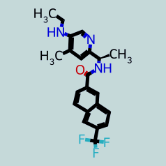 CCNc1cnc([C@@H](C)NC(=O)c2ccc3cc(C(F)(F)F)ccc3c2)cc1C